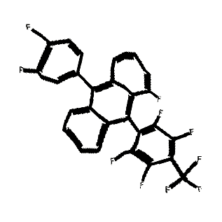 Fc1ccc(-c2c3ccccc3c(-c3c(F)c(F)c(C(F)(F)F)c(F)c3F)c3c(F)cccc23)cc1F